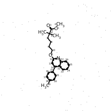 COC(=O)C(C)(C)CCCCOc1cc(-c2ccc(C)cc2)c2ccccc2n1